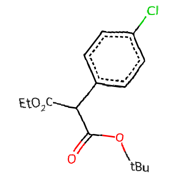 CCOC(=O)C(C(=O)OC(C)(C)C)c1ccc(Cl)cc1